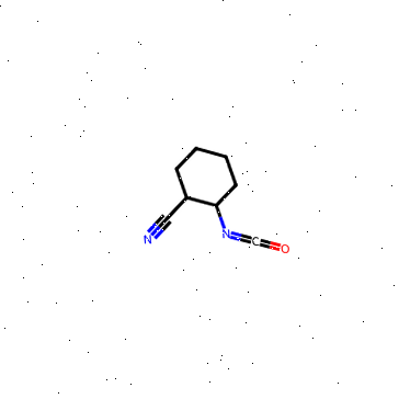 N#CC1CCCCC1N=C=O